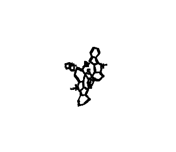 Cn1c2c(c3c1=c1ccccc1=C3)[C]1(S[C]3([Zr+2]1)C(Br)=CC=c1c3c3c(n1C)=c1ccccc1=C3)C(Br)=CC=2.[Cl-].[Cl-]